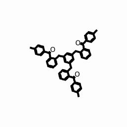 Cc1ccc(C(=O)c2ccccc2Cc2cc(Cc3ccccc3C(=O)c3ccc(C)cc3)cc(Cc3ccccc3C(=O)c3ccc(C)cc3)c2)cc1